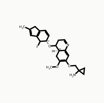 COC1=C(OCC2(N)CC2)C=C2N=CCC(O[C@H]3C=CC4=C(C=C(C)C4)C3F)[C@@H]2C1